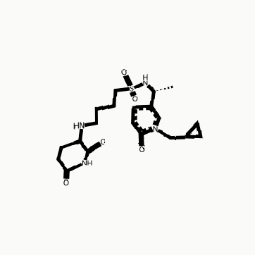 C[C@@H](NS(=O)(=O)CCCCNC1CCC(=O)NC1=O)c1ccc(=O)n(CC2CC2)c1